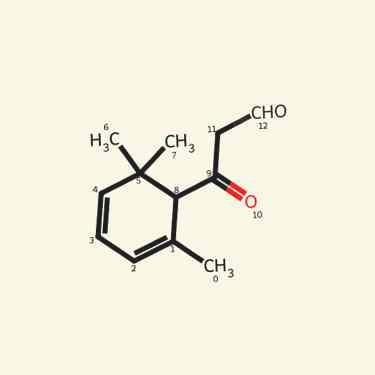 CC1=CC=CC(C)(C)C1C(=O)CC=O